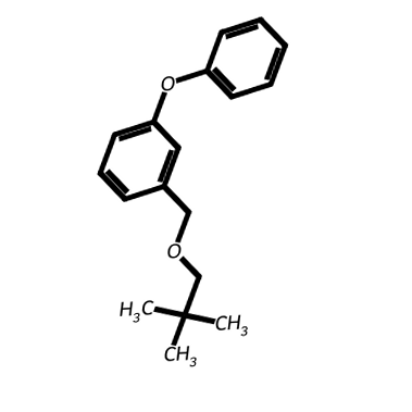 CC(C)(C)COCc1cccc(Oc2ccccc2)c1